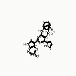 O=C(O)[C@H]1C2CCC(CC2)[C@@H]1Nc1nc(-c2c[nH]c3ncc(Cl)nc23)nc(-c2ccc[nH]2)c1F